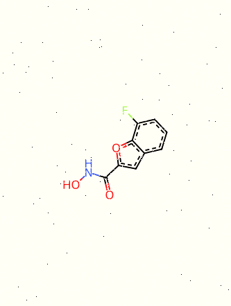 O=C(NO)c1cc2cccc(F)c2o1